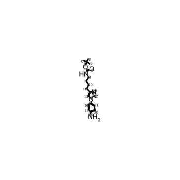 CC(C)(C)OC(=O)NCCCCc1cn(-c2ccc(N)cc2)nn1